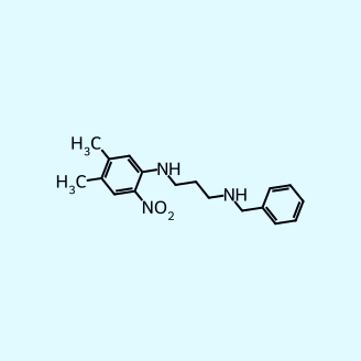 Cc1cc(NCCCNCc2ccccc2)c([N+](=O)[O-])cc1C